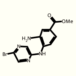 COC(=O)c1ccc(Nc2cnc(Br)cn2)c(N)c1